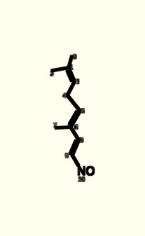 CC(C)=CC/C=C(C)/C=C/N=O